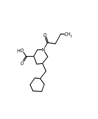 CCCC(=O)N1CC(CC2CCCCC2)CC(C(=O)O)C1